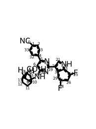 N#Cc1ccc(-c2cc(N[C@H]3C4CCC(CC4)[C@@H]3C(=O)O)nc(-c3c[nH]c4c(F)cc(F)cc34)n2)cc1